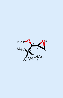 CCCOC(C1CO1)[Si](OC)(OC)OC